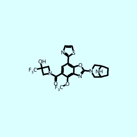 O=C(c1cc(-c2nccs2)c2oc(N3CC4CCC(C3)N4)nc2c1OC(F)(F)F)N1CC(O)(C(F)(F)F)C1